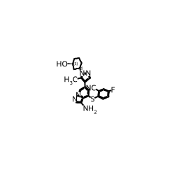 Cc1c(-c2cc(Sc3ccc(F)cc3C#N)c3c(N)cnn3c2)cnn1[C@@H]1CCC[C@H](O)C1